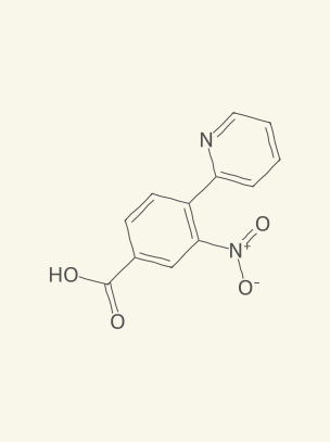 O=C(O)c1ccc(-c2ccccn2)c([N+](=O)[O-])c1